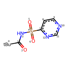 CC(C)(C)C(=O)NS(=O)(=O)c1ccncn1